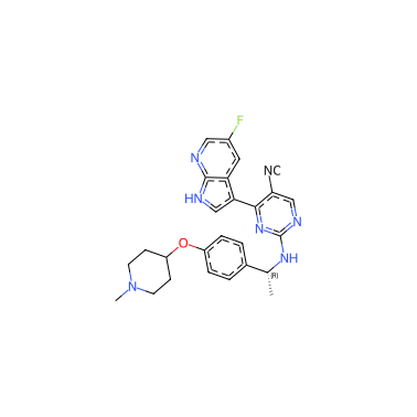 [C-]#[N+]c1cnc(N[C@H](C)c2ccc(OC3CCN(C)CC3)cc2)nc1-c1c[nH]c2ncc(F)cc12